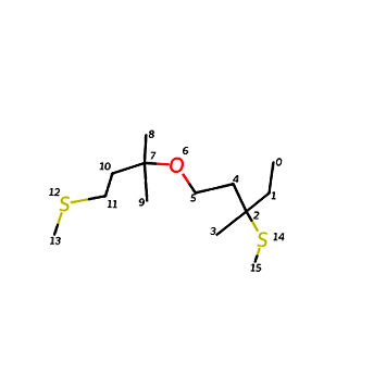 CCC(C)(CCOC(C)(C)CCSC)SC